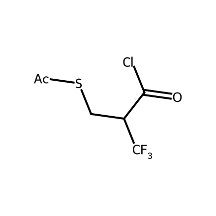 CC(=O)SCC(C(=O)Cl)C(F)(F)F